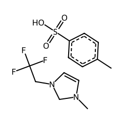 CN1C=CN(CC(F)(F)F)C1.Cc1ccc(S(=O)(=O)O)cc1